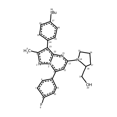 Cc1nn2c(-c3ccc(F)cc3)cc(N3CCCC3CO)nc2c1-c1ccc(C(C)(C)C)cc1